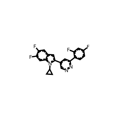 Fc1ccc(-c2cc(-c3cc4cc(F)c(F)cc4n3C3CC3)cnn2)c(F)c1